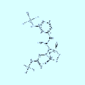 CC(C)(C)OC(=O)N[C@H]1C(C(=O)Nc2cccc(SC(F)(F)F)c2)[C@@H]2CC[C@H]1C2